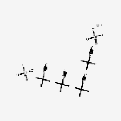 [C-]#[N+]C(C)(C)C.[C-]#[N+]C(C)(C)C.[C-]#[N+]C(C)(C)C.[C-]#[N+]C(C)(C)C.[Ni+2].[O-][Cl+3]([O-])([O-])[O-].[O-][Cl+3]([O-])([O-])[O-]